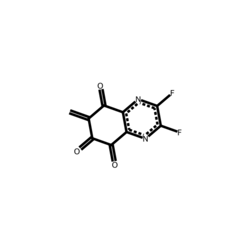 C=C1C(=O)C(=O)c2nc(F)c(F)nc2C1=O